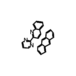 c1ccc2cc3ccccc3cc2c1.c1cnc(-c2ccc3ccccc3n2)nc1